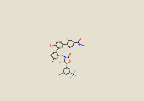 CNC(=O)c1ccc(-c2ccc(OC)c(-c3ccc(C)cc3CN3C(=O)O[C@H](c4cc(C)cc(C(F)(F)F)c4)[C@@H]3C)c2)c(C)c1